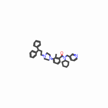 Cc1c(C(=O)N(Cc2cccnc2)C2CCCCC2)cccc1N1CCN(CCC(c2ccccc2)c2ccccc2)CC1